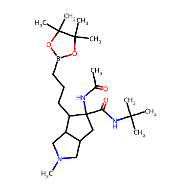 CC(=O)NC1(C(=O)NC(C)(C)C)CC2CN(C)CC2C1CCCB1OC(C)(C)C(C)(C)O1